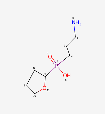 NCCCP(=O)(O)C1CCCO1